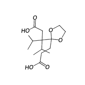 CC(C)C(CC(=O)O)(C(C)C)C1(CCC(=O)O)OCCO1